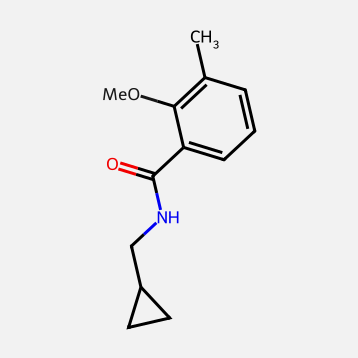 COc1c(C)cccc1C(=O)NCC1CC1